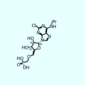 CC(C)Nc1nc(Cl)nc2c1ncn2[C@@H]1OC(=COCP(=O)(O)O)[C@@H](O)[C@H]1O